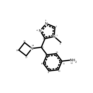 Cn1cnnc1C(c1cccc(N)c1)N1CCC1